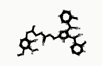 COc1ccc(CC(C)CCC(=O)[N]Cc2nc(C(Cl)c3ccccc3C)c(C(Cl)c3ccccc3C)[nH]2)c(Cl)c1OC